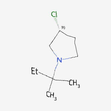 CCC(C)(C)N1CC[C@@H](Cl)C1